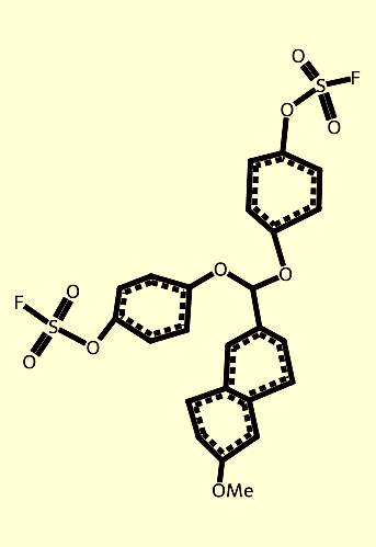 COc1ccc2cc(C(Oc3ccc(OS(=O)(=O)F)cc3)Oc3ccc(OS(=O)(=O)F)cc3)ccc2c1